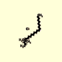 CCCCCCCC/C=C\CCCCCCCCC[N+](C)(C)CCC.[Cl-]